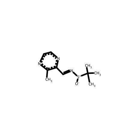 Cc1nccnc1/C=N/[S+]([O-])C(C)(C)C